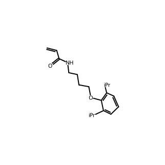 C=CC(=O)NCCCCOc1c(C(C)C)cccc1C(C)C